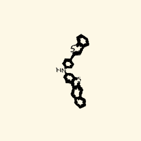 c1ccc2cc3c(cc2c1)sc1cc(Nc2ccc(-c4cc5ccccc5s4)cc2)ccc13